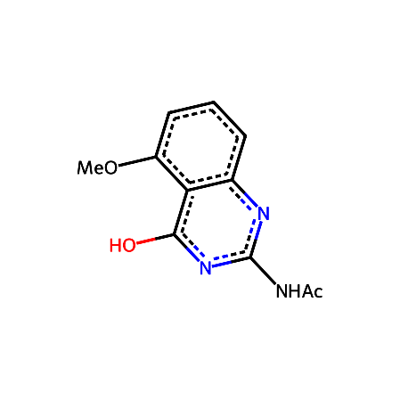 COc1cccc2nc(NC(C)=O)nc(O)c12